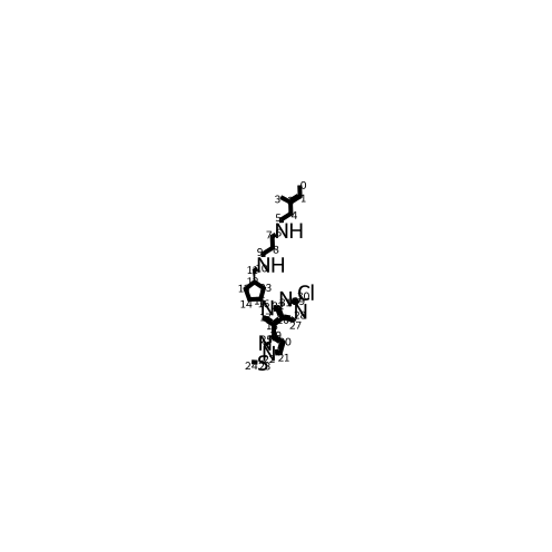 C/C=C(\C)CCNCCCNC[C@@H]1CC[C@H](n2cc(-c3ccn(SC)n3)c3cnc(Cl)nc32)C1